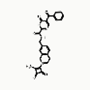 Nc1c(N2CCc3ccc(CNC(=O)c4ncc(C(=O)c5ccccc5)c(=O)[nH]4)cc3C2)c(=O)c1=O